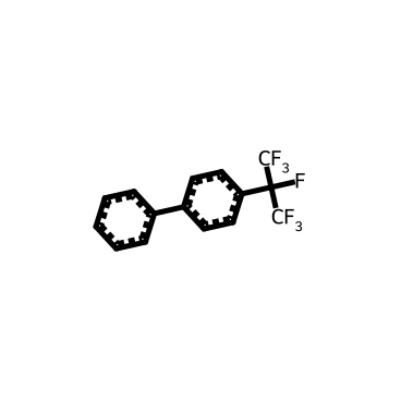 FC(F)(F)C(F)(c1ccc(-c2ccccc2)cc1)C(F)(F)F